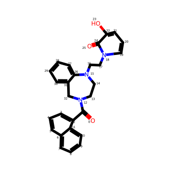 O=C(c1cccc2ccccc12)N1CCN(CCn2cccc(O)c2=O)c2ccccc2C1